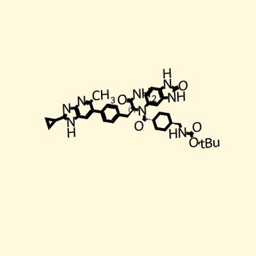 Cc1nc2nc(C3CC3)[nH]c2cc1-c1ccc(C[C@@H](C(N)=O)N(c2ccc3[nH]c(=O)[nH]c3c2)C(=O)[C@H]2CC[C@H](CNC(=O)OC(C)(C)C)CC2)cc1